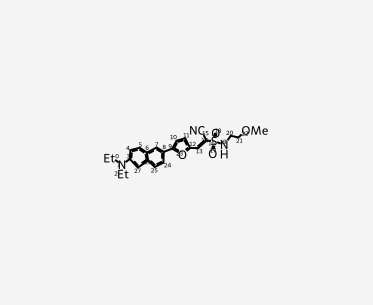 CCN(CC)c1ccc2cc(-c3ccc(/C=C(\C#N)S(=O)(=O)NCCOC)o3)ccc2c1